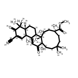 COC(=O)[C@@]1(C)CCC(C)(C)CC[C@@]2(O)C(=O)C=C3[C@@]4(C)C=C(C#N)C(=O)C(C)(C)[C@@H]4CC[C@@]3(C)[C@]2(C)CC1